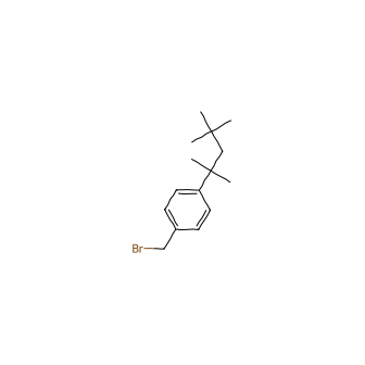 CC(C)(C)CC(C)(C)c1ccc(CBr)cc1